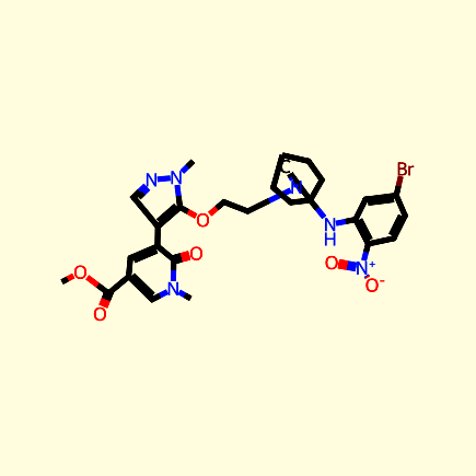 COC(=O)c1cc(-c2cnn(C)c2OCCN2CC3CCC(Nc4cc(Br)ccc4[N+](=O)[O-])(CC3)C2)c(=O)n(C)c1